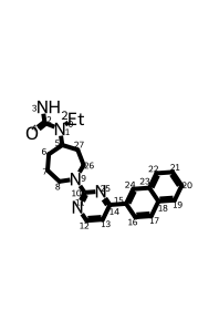 CCN(C(N)=O)C1CCCN(c2nccc(-c3ccc4ccccc4c3)n2)CC1